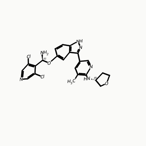 Cc1cc(-c2n[nH]c3ccc(O[C@H](N)c4c(Cl)cncc4Cl)cc23)cnc1N[C@@H]1CCOC1